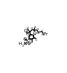 Cc1c(S(N)(=O)=O)cc2c(c1C)OC(C)(CCCC(C)C)CC21COC1